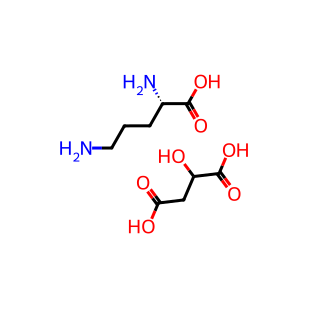 NCCC[C@H](N)C(=O)O.O=C(O)CC(O)C(=O)O